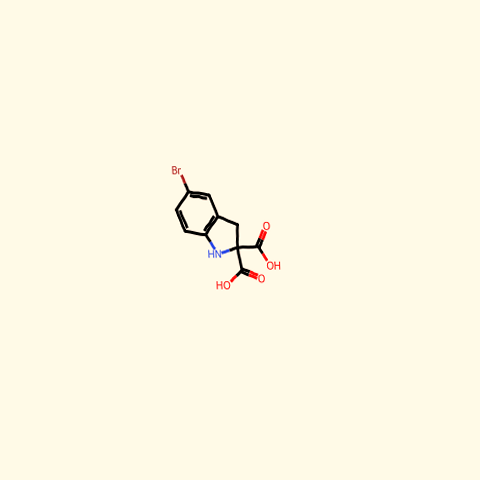 O=C(O)C1(C(=O)O)Cc2cc(Br)ccc2N1